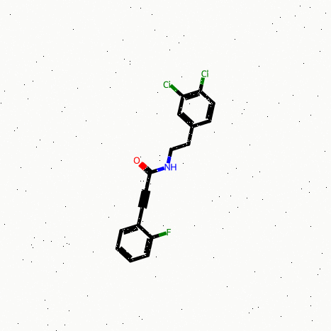 O=C(C#Cc1ccccc1F)NCCc1ccc(Cl)c(Cl)c1